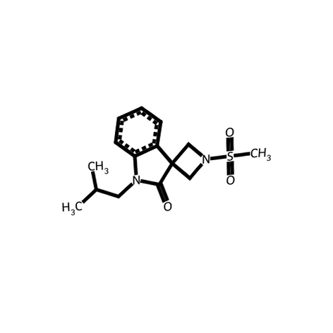 CC(C)CN1C(=O)C2(CN(S(C)(=O)=O)C2)c2ccccc21